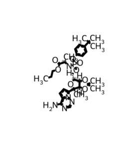 CCCOC(=O)[C@H](C)NP(=O)(OC[C@H]1O[C@@](C)(c2ccc3c(N)ncnn23)[C@@H]2OC(C)(C)O[C@@H]21)Oc1ccc(C(C)(C)C)cc1